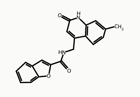 Cc1ccc2c(CNC(=O)c3cc4ccccc4o3)cc(=O)[nH]c2c1